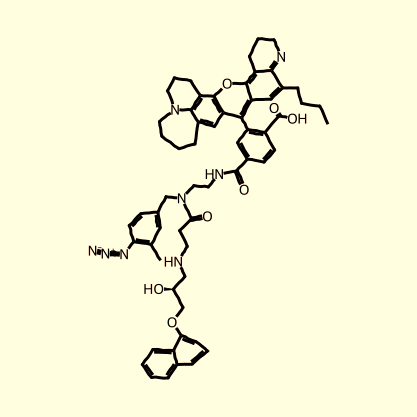 CCCCc1cc2c(c3c1=NCCC3)Oc1c(cc3c4c1CCCN4CCCC3)C=2c1cc(C(=O)NCCN(Cc2ccc(N=[N+]=[N-])c(C)c2)C(=O)CCNC[C@H](O)COc2cccc3ccccc23)ccc1C(=O)O